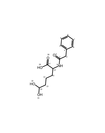 O=C(Cc1ccccc1)NC(CCCC(O)O)C(=O)O